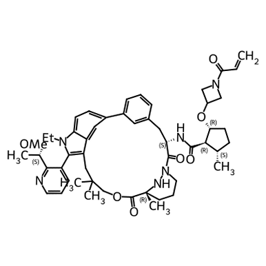 C=CC(=O)N1CC(O[C@@H]2CC[C@H](C)[C@H]2C(=O)N[C@H]2Cc3cccc(c3)-c3ccc4c(c3)c(c(-c3cccnc3[C@H](C)OC)n4CC)CC(C)(C)COC(=O)[C@@]3(C)CCCN(N3)C2=O)C1